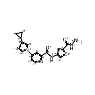 NNC(=O)c1cc(NC(=O)c2cc(-n3cnc(C4CC4)c3)ccn2)cs1